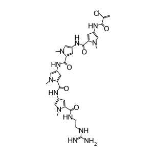 C=C(Cl)C(=O)Nc1cc(C(=O)Nc2cc(C(=O)Nc3cc(C(=O)Nc4cc(C(=O)NCCNC(=N)N)n(C)c4)n(C)c3)n(C)c2)n(C)c1